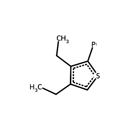 CCc1csc([P])c1CC